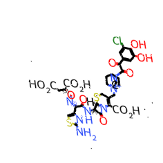 Nc1nc(/C(=N/O[C@@H](CC(=O)O)C(=O)O)C(=O)N[C@@H]2C(=O)N3C(C(=O)O)=C(C[N+]45CCC(CC4)N(C(=O)C(=O)c4cc(O)c(O)c(Cl)c4)CC5)CS[C@H]23)cs1